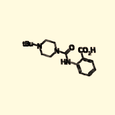 CC(C)(C)N1CCN(C(=O)Nc2ccccc2C(=O)O)CC1